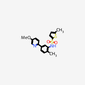 COc1ccc(-c2ccc(C)c(NS(=O)(=O)c3ccc(C)s3)c2)nc1